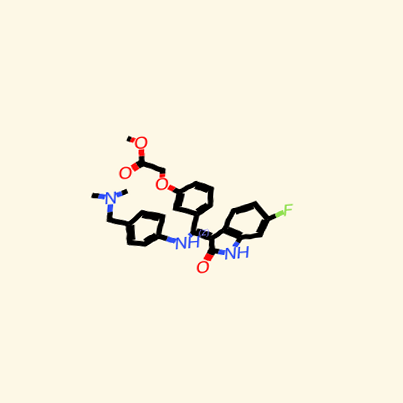 COC(=O)COc1cccc(/C(Nc2ccc(CN(C)C)cc2)=C2/C(=O)Nc3cc(F)ccc32)c1